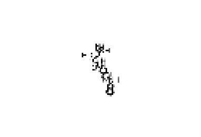 CC(Cc1cnn[nH]1)OCC(=O)[C@@H]1Cc2cnc(NC3Cc4ccccc4C3)nc2CN1